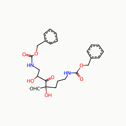 O=[C]C(O)(CCCNC(=O)OCc1ccccc1)C(=O)C(O)CNC(=O)OCc1ccccc1